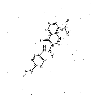 CCOc1ccc(NC(=O)c2cnc3c([N+](=O)[O-])cccc3c2Cl)cc1